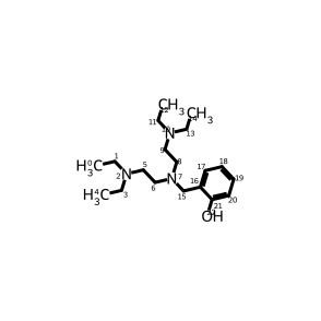 CCN(CC)CCN(CCN(CC)CC)Cc1ccccc1O